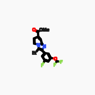 CCc1c(-c2cc(F)cc(OC(F)F)c2)nc2cc(C(=O)OC)ccn12